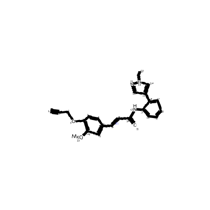 C#CCOc1ccc(/C=C/C(=O)Nc2ccccc2-c2cnn(C)c2)cc1OC